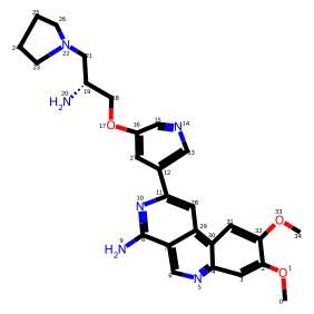 COc1cc2ncc3c(N)nc(-c4cncc(OC[C@H](N)CN5CCCC5)c4)cc3c2cc1OC